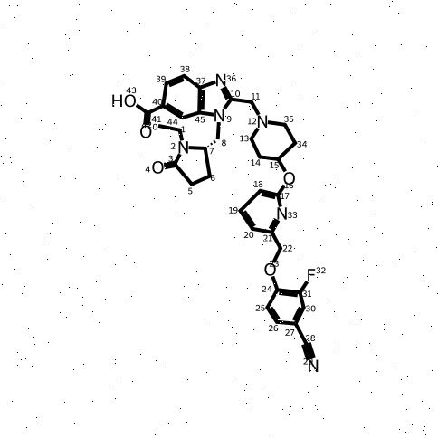 CCN1C(=O)CC[C@H]1Cn1c(CN2CCC(Oc3cccc(COc4ccc(C#N)cc4F)n3)CC2)nc2ccc(C(=O)O)cc21